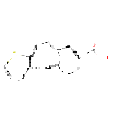 O=C(O)c1ccc2c(c1)=CC=C1SC=CC=C1C=2